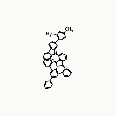 Cc1ccc(-c2ccc3c4ccccc4n(-c4cccc5c4C(=O)N(c4c(-c6ccccc6)cc(-c6ccccc6)cc4-c4ccccc4)C5=O)c3c2)c(C)c1